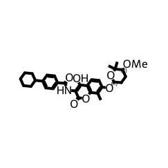 CO[C@@H]1CC[C@H](Oc2ccc3c(O)c(NC(=O)c4ccc(C5CCCCC5)cc4)c(=O)oc3c2C)OC1(C)C